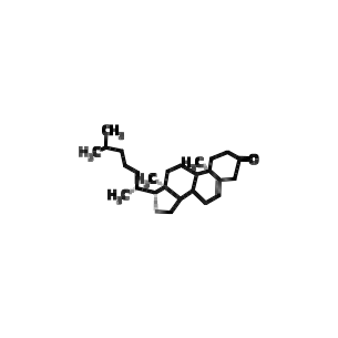 CC(C)CCC[C@@H](C)[C@H]1CCC2C3CC=C4CC(=O)CC[C@]4(C)C3CC[C@@]21C